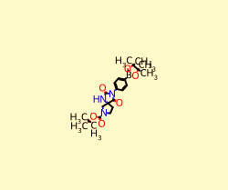 CC(C)(C)OC(=O)N1CCC2(C1)NC(=O)N(c1ccc(B3OC(C)(C)C(C)(C)O3)cc1)C2=O